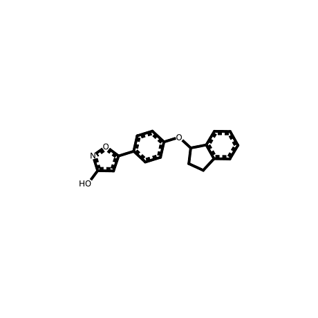 Oc1cc(-c2ccc(OC3CCc4ccccc43)cc2)on1